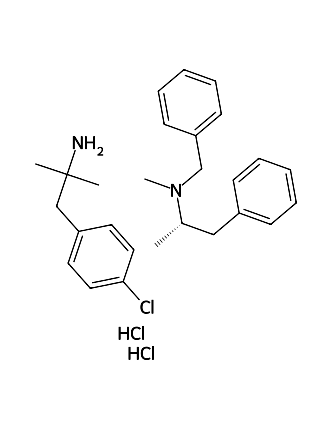 CC(C)(N)Cc1ccc(Cl)cc1.C[C@@H](Cc1ccccc1)N(C)Cc1ccccc1.Cl.Cl